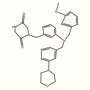 COc1cccc(CN(Cc2cccc(N3CCOCC3)c2)c2cccc(CN3CC(=O)NCC3=O)c2)c1